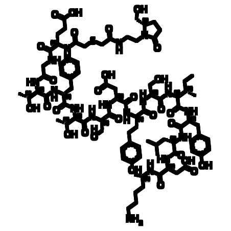 CC[C@H](C)[C@H](NC(=O)[C@H](CO)NC(=O)[C@H](CCc1ccc(O)cc1)NC(=O)[C@H](CC(=O)O)NC(=O)[C@H](CO)NC(=O)[C@@H](NC(=O)[C@H](Cc1ccccc1)NC(=O)[C@@H](NC(=O)CNC(=O)[C@H](CCC(=O)O)NC(=O)CSCC(=O)NCCN1C(=O)CC[C@H]1CO)[C@@H](C)O)[C@@H](C)O)C(=O)N[C@@H](Cc1ccc(O)cc1)C(=O)N[C@@H](CC(C)C)C(=O)N[C@@H](CC(=O)O)C(=O)N[C@H](C)CCCCN